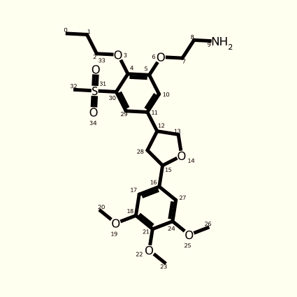 CCCOc1c(OCCN)cc(C2COC(c3cc(OC)c(OC)c(OC)c3)C2)cc1S(C)(=O)=O